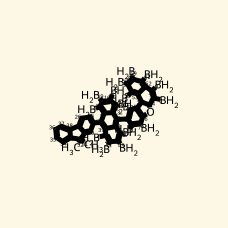 BC1=C(B)C2Oc3c(B)c(B)c(-c4c5c(B)c(B)c(B)c(B)c5c(-c5ccc6c(c5)C(C)(C)c5ccccc5-6)c5c(B)c(B)c(B)c(B)c45)c(B)c3C2c2c(B)c(B)c(B)c(B)c21